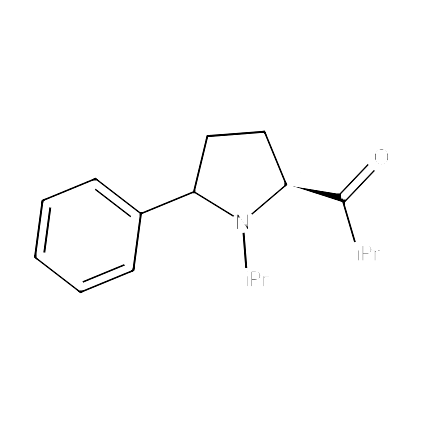 CC(C)C(=O)[C@@H]1CCC(c2ccccc2)N1C(C)C